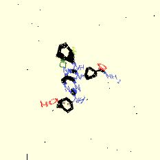 NC(=O)[C@H]1CC[C@@H](n2c(Nc3c(F)cccc3Cl)nc3cnc(N[C@@H]4CCCC[C@H](O)C4)nc32)CC1